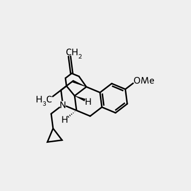 C=C1CC(C)[C@H]2[C@H]3Cc4ccc(OC)cc4[C@@]2(CCN3CC2CC2)C1